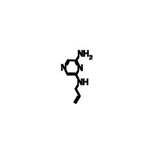 C=CCNc1cncc(N)n1